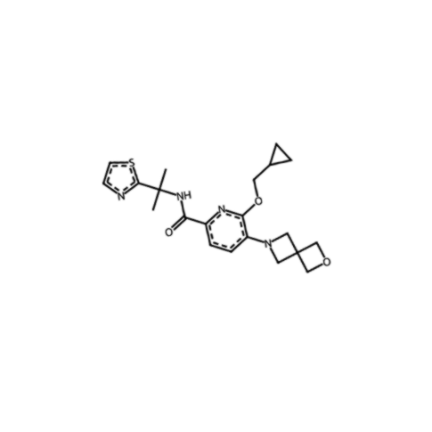 CC(C)(NC(=O)c1ccc(N2CC3(COC3)C2)c(OCC2CC2)n1)c1nccs1